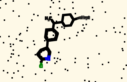 CCCCCCCC1CCC(C(C)c2ccc(-c3ccc(Cl)nc3)cc2)CC1